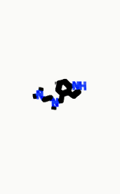 CN(C)CCN(C)Cc1c[c]cc2[nH]ccc12